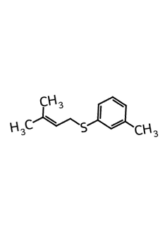 CC(C)=CCSc1cccc(C)c1